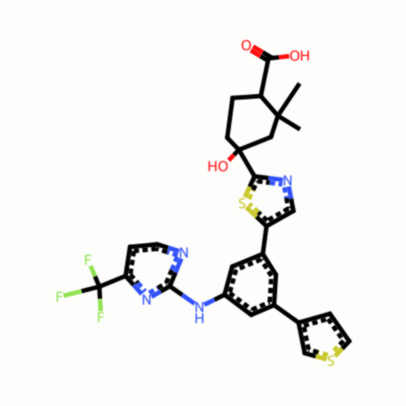 CC1(C)CC(O)(c2ncc(-c3cc(Nc4nccc(C(F)(F)F)n4)cc(-c4ccsc4)c3)s2)CCC1C(=O)O